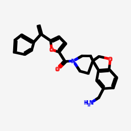 C=C(c1ccccc1)c1ccc(C(=O)N2CCC3(CC2)COc2ccc(CN)cc23)o1